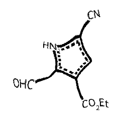 CCOC(=O)c1cc(C#N)[nH]c1C=O